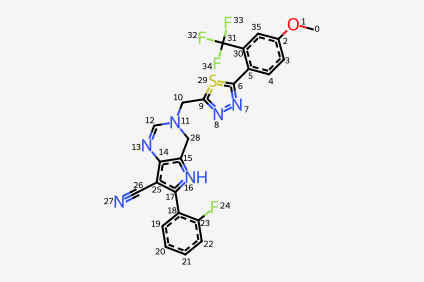 COc1ccc(-c2nnc(CN3C=Nc4c([nH]c(-c5ccccc5F)c4C#N)C3)s2)c(C(F)(F)F)c1